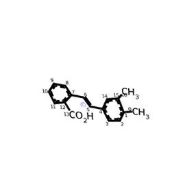 Cc1ccc(/C=C/c2ccccc2C(=O)O)cc1C